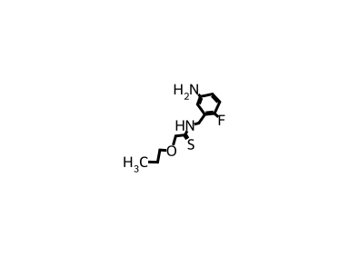 CCCOCC(=S)NCc1cc(N)ccc1F